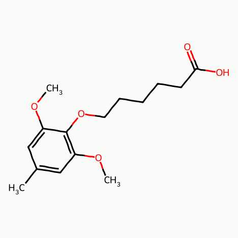 COc1cc(C)cc(OC)c1OCCCCCC(=O)O